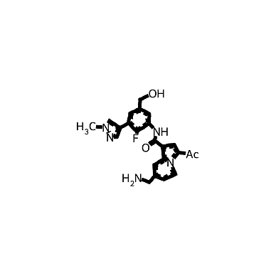 CC(=O)c1cc(C(=O)Nc2cc(CO)cc(-c3cnn(C)c3)c2F)c2cc(CN)ccn12